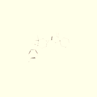 CC1(C)CN(C(=O)CC2(N)CCOCC2)CC[C@]1(O)c1ccc(Cl)cc1